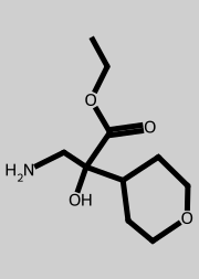 CCOC(=O)C(O)(CN)C1CCOCC1